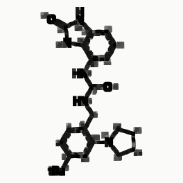 CC(C)(C)c1ccc(CNC(=O)Nc2cccc3c2[N]C(=O)N3)c(N2CCCC2)c1